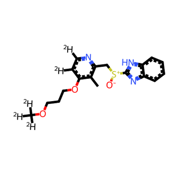 [2H]c1nc(C[S+]([O-])c2nc3ccccc3[nH]2)c(C)c(OCCCOC([2H])([2H])[2H])c1[2H]